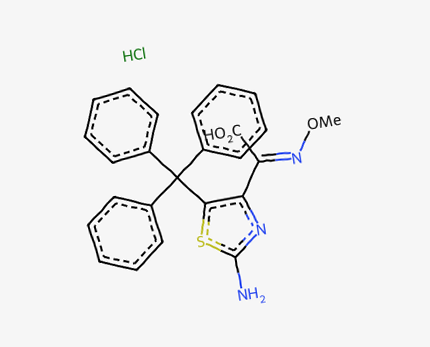 CON=C(C(=O)O)c1nc(N)sc1C(c1ccccc1)(c1ccccc1)c1ccccc1.Cl